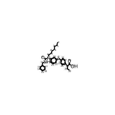 CCCCCCCN(C(=O)NCc1ccccc1)c1cccc(Sc2ccc(C(CC)C(=O)O)cc2)c1